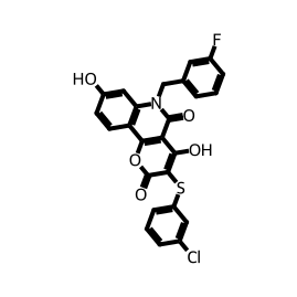 O=c1oc2c(c(O)c1Sc1cccc(Cl)c1)c(=O)n(Cc1cccc(F)c1)c1cc(O)ccc21